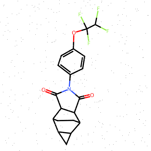 O=C1C2C3CCC(C4CC43)C2C(=O)N1c1ccc(OC(F)(F)C(F)F)cc1